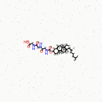 CC(C)CCC[C@@H](C)[C@H]1CC[C@H]2[C@@H]3CC=C4C[C@@H](OC(=O)NCC(=O)NCC(=O)NCC(=O)O)CC[C@]4(C)[C@H]3CC[C@]12C